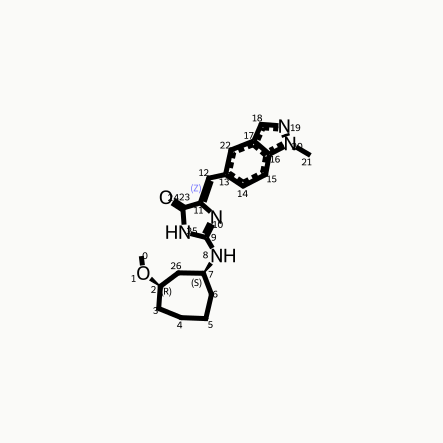 CO[C@@H]1CCCC[C@H](NC2=N/C(=C\c3ccc4c(cnn4C)c3)C(=O)N2)C1